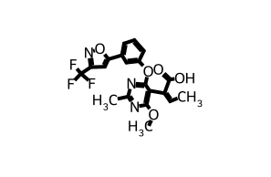 CC=C(C(=O)O)c1c(OC)nc(C)nc1Oc1cccc(-c2cc(C(F)(F)F)no2)c1